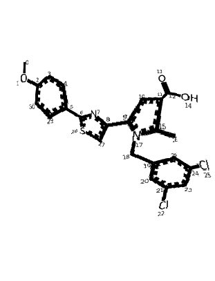 COc1ccc(-c2nc(-c3cc(C(=O)O)c(C)n3Cc3cc(Cl)cc(Cl)c3)cs2)cc1